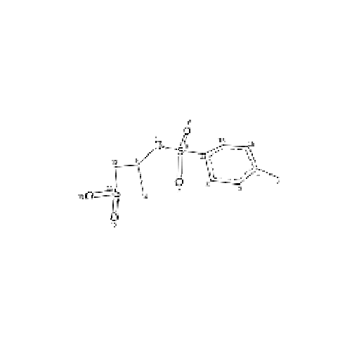 Cc1ccc(S(=O)(=O)OC2CS(=O)(=O)C2)cc1